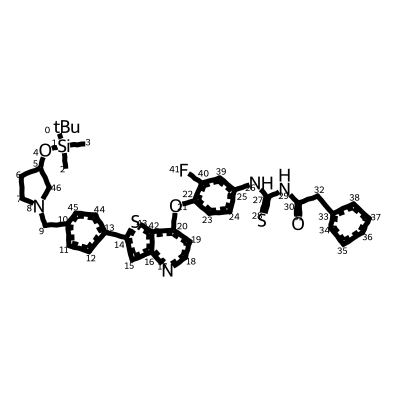 CC(C)(C)[Si](C)(C)OC1CCN(Cc2ccc(-c3cc4nccc(Oc5ccc(NC(=S)NC(=O)Cc6ccccc6)cc5F)c4s3)cc2)C1